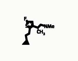 CNC[C@H](C)c1cc(F)sc1CCC1CC1